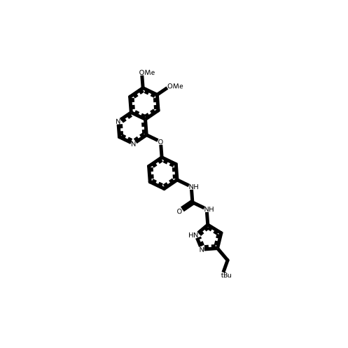 COc1cc2ncnc(Oc3cccc(NC(=O)Nc4cc(CC(C)(C)C)n[nH]4)c3)c2cc1OC